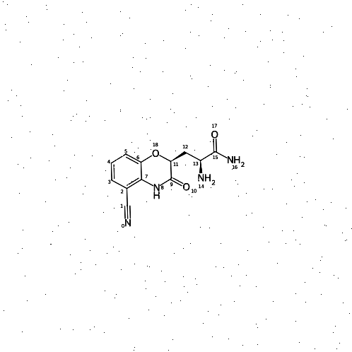 N#Cc1cccc2c1NC(=O)[C@H](C[C@H](N)C(N)=O)O2